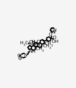 C=C(C)[C@@H]1CC[C@]2(NCCN3CCS(=O)(=O)CC3)CC[C@]3(C)[C@H](CCC4[C@@]5(C)CC=C(C6=CCC(COc7cccnn7)(C(=O)O)CC6)C(C)(C)C5CC[C@]43C)C12